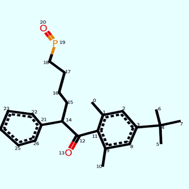 Cc1cc(C(C)(C)C)cc(C)c1C(=O)C(CCCCP=O)c1ccccc1